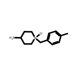 Cc1ccc(C[N+]2([O-])CCC(N)CC2)cc1